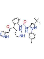 Cc1ccc(-n2nc(C(C)(C)C)cc2NC(=O)Nc2ccccc2C(C(=O)Cc2cnc[nH]2)C2CCNCC2)cc1